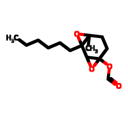 CCCCCCC12OC1(C)CCC1(OC=O)OC12